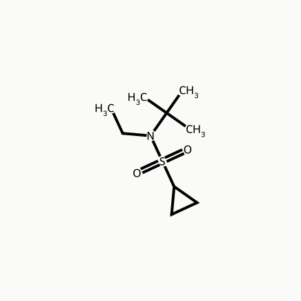 CCN(C(C)(C)C)S(=O)(=O)C1CC1